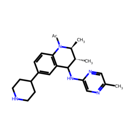 CC(=O)N1c2ccc(C3CCNCC3)cc2C(Nc2cnc(C)cn2)[C@@H](C)[C@@H]1C